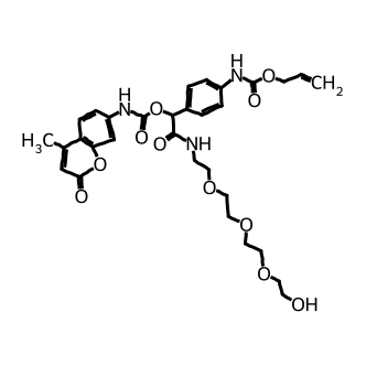 C=CCOC(=O)Nc1ccc(C(OC(=O)Nc2ccc3c(C)cc(=O)oc3c2)C(=O)NCCOCCOCCOCCO)cc1